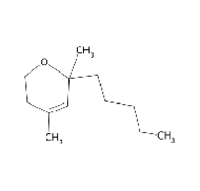 CCCCCC1(C)C=C(C)CCO1